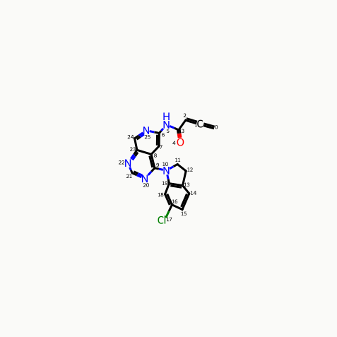 C=C=CC(=O)Nc1cc2c(N3CCc4ccc(Cl)cc43)ncnc2cn1